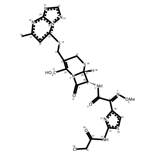 CON=C(C(=O)N[C@@H]1C(=O)N2C(C(=O)O)=C(CSc3cc(C)nc4ncnn34)CS[C@H]12)c1csc(NC(=O)CCl)n1